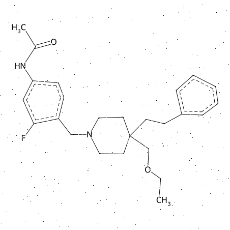 CCOCC1(CCc2ccccc2)CCN(Cc2ccc(NC(C)=O)cc2F)CC1